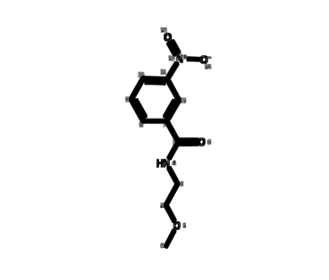 COCCNC(=O)c1cccc([N+](=O)[O-])c1